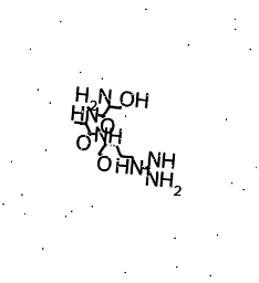 CC(NC(=O)C(N)CO)C(=O)N[C@@H](C=O)CCCNC(=N)N